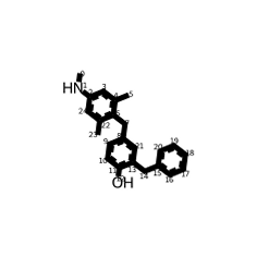 CNc1cc(C)c(Cc2ccc(O)c(Cc3ccccc3)c2)c(C)c1